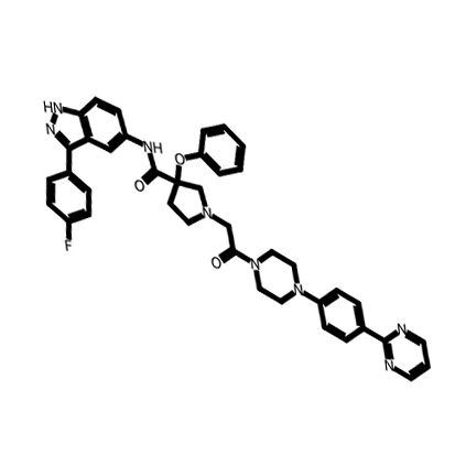 O=C(CN1CCC(Oc2ccccc2)(C(=O)Nc2ccc3[nH]nc(-c4ccc(F)cc4)c3c2)C1)N1CCN(c2ccc(-c3ncccn3)cc2)CC1